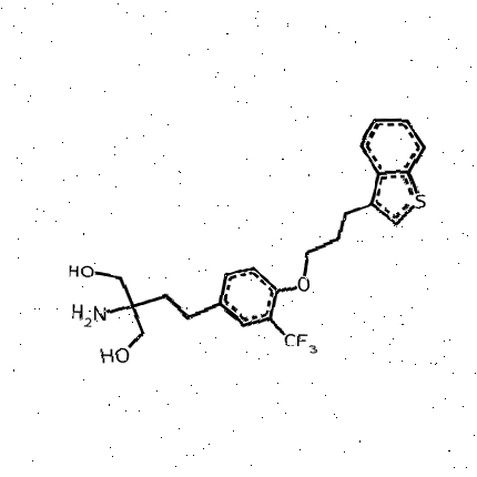 NC(CO)(CO)CCc1ccc(OCCCc2csc3ccccc23)c(C(F)(F)F)c1